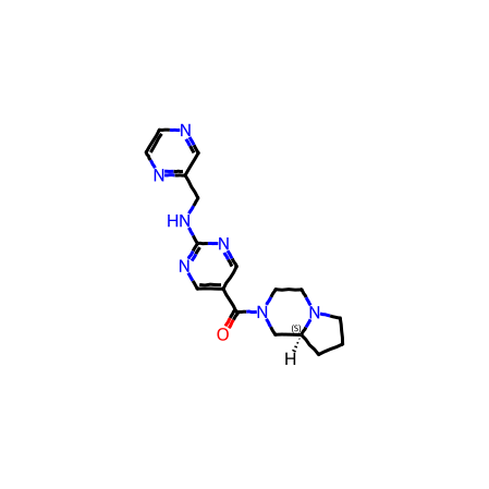 O=C(c1cnc(NCc2cnccn2)nc1)N1CCN2CCC[C@H]2C1